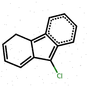 ClC1=c2ccccc2=C2CC=CC=C12